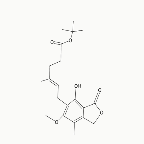 COc1c(C)c2c(c(O)c1C/C=C(\C)CCC(=O)OC(C)(C)C)C(=O)OC2